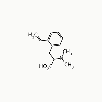 C=Cc1ccccc1CC(C(=O)O)N(C)C